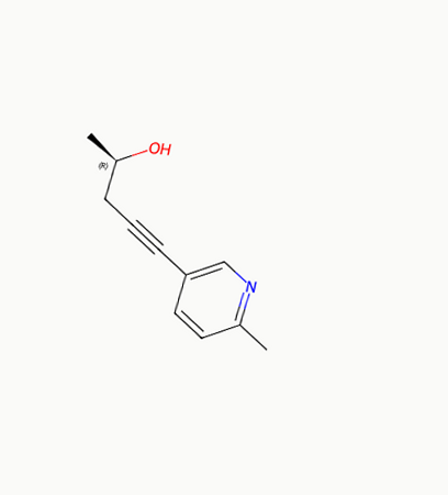 Cc1ccc(C#CC[C@@H](C)O)cn1